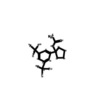 CC(=O)OC1(c2cc(C(F)(F)F)cc(C(F)(F)F)c2)CCCC1